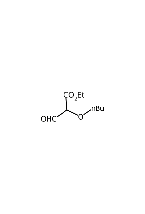 CCCCOC(C=O)C(=O)OCC